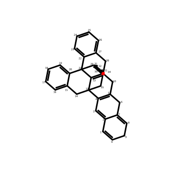 C1=CC2=CC3=C(CC2=CC1)CC1=C2C34Cc3ccccc3C2(c2ccccc2C1)c1ccccc1C4